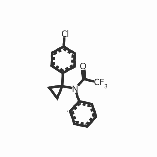 O=C(N(c1[c]cccc1)C1(c2ccc(Cl)cc2)CC1)C(F)(F)F